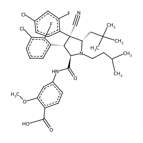 COc1cc(NC(=O)[C@H]2[C@H](c3cccc(Cl)c3F)[C@@](C#N)(c3ccc(Cl)cc3F)[C@H](CC(C)(C)C)N2CCC(C)C)ccc1C(=O)O